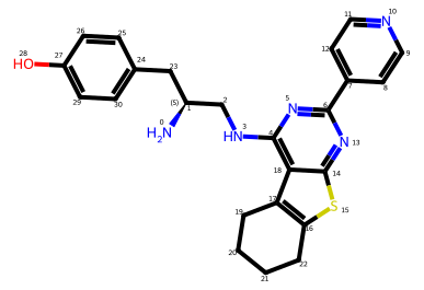 N[C@H](CNc1nc(-c2ccncc2)nc2sc3c(c12)CCCC3)Cc1ccc(O)cc1